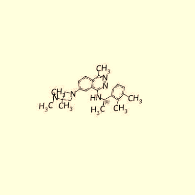 Cc1cccc([C@@H](C)Nc2nnc(C)c3ccc(N4CC(C)(N(C)C)C4)cc23)c1C